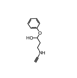 C#CNCCC(O)Oc1ccccc1